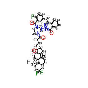 C[C@]12CCC(F)(F)CC1CC[C@@H]1C2CC[C@]23O[C@@]2(CCCC(=O)N2CCN(C(=O)c4cc(Cc5n[nH]c(=O)c6ccccc56)ccc4F)CC2)CCC13